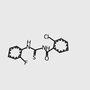 O=C(NC(=S)Nc1ccccc1F)c1ccccc1Cl